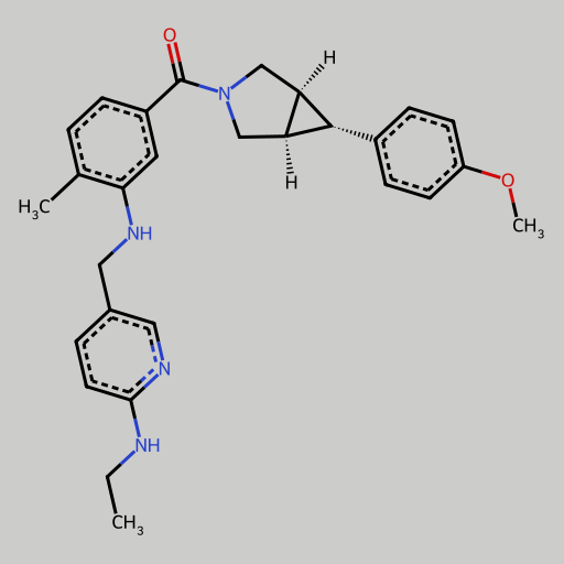 CCNc1ccc(CNc2cc(C(=O)N3C[C@@H]4[C@H](C3)[C@H]4c3ccc(OC)cc3)ccc2C)cn1